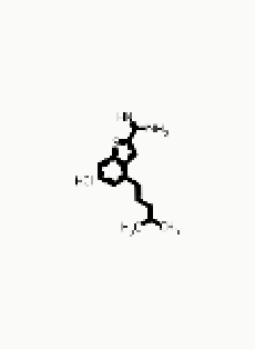 CC(C)C/C=C/c1cccc2sc(C(=N)N)cc12.Cl